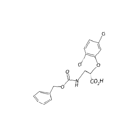 O=C(NC[C@H](Oc1cc(Cl)ccc1Cl)C(=O)O)OCc1ccccc1